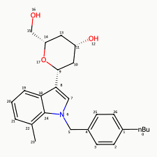 CCCCc1ccc(Cn2cc([C@H]3C[C@@H](O)C[C@@H](CO)O3)c3cccc(C)c32)cc1